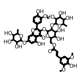 COc1cc(-c2oc3cc(OC4OC(C)C(O)C(O)C4O)cc(O)c3c(=O)c2OC2OC(COC(=O)/C=C/c3cc(OC)c(O)c(OC)c3)C(O)C(O)C2OC2OC(C)C(O)C(O)C2O)ccc1O